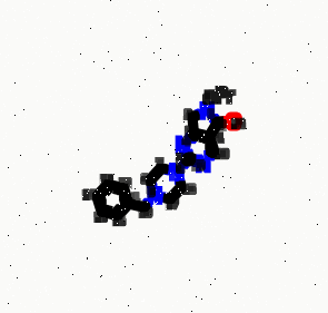 CCCN1Cc2nc(N3CCN(Cc4ccccc4)CC3)ncc2C1=O